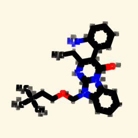 CCc1nc2n(COCC[Si](C)(C)C)c3ccccc3n2c(=O)c1-c1ccccc1N